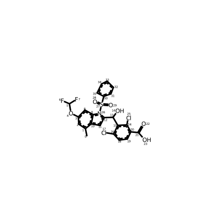 Cc1cc(OC(F)F)cc2c1cc(C(O)c1c(Cl)ccc(C(=O)O)c1Cl)n2S(=O)(=O)c1ccccc1